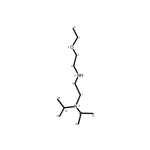 CCOCCNCCN(C(C)C)C(C)C